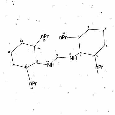 CCCC1CCCC(CCC)C1NCNC1C(CCC)CCCC1CCC